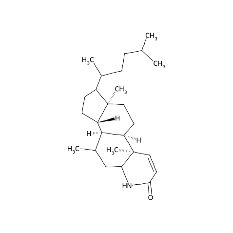 CC(C)CCC(C)C1CC[C@H]2[C@@H]3C(C)CC4NC(=O)C=C[C@]4(C)[C@@H]3CC[C@]12C